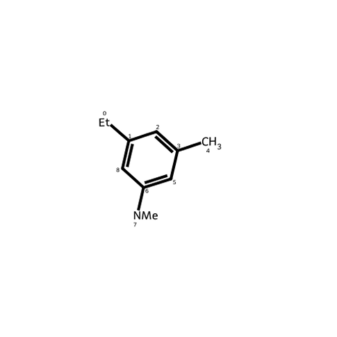 CCc1cc(C)cc(NC)c1